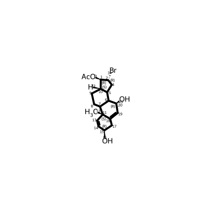 CC(=O)O[C@H]1[C@H](Br)CC2C3C(CC[C@@H]21)[C@@]1(C)C=C[C@H](O)CC1=C[C@@H]3O